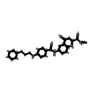 COC(=O)c1cc(=O)c2cc(NC(=O)c3ccc(OCCCc4ccccc4)cc3)ccc2o1